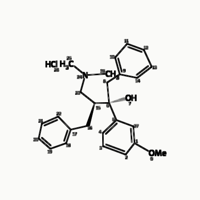 COc1cccc([C@](O)(Cc2ccccc2)[C@@H](Cc2ccccc2)CN(C)C)c1.Cl